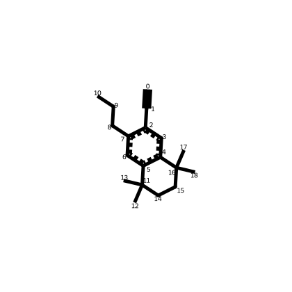 C#Cc1cc2c(cc1CCC)C(C)(C)CCC2(C)C